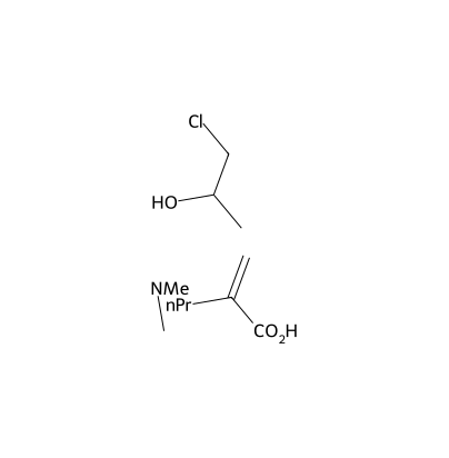 C=C(CCC)C(=O)O.CC(O)CCl.CNC